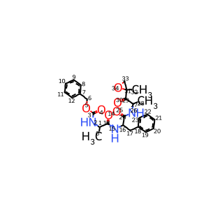 CC(NC(=O)OCc1ccccc1)C(=O)NC(Cc1ccccc1)C(=O)NC(C)C(=O)C1(C)CO1